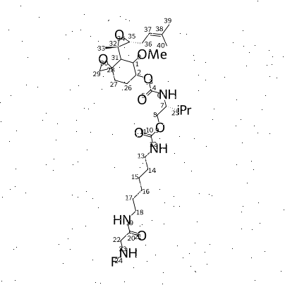 COC1C(OC(=O)N[C@@H](COC(=O)NCCCCCCNC(=O)CNF)C(C)C)CCC2(CO2)C1[C@]1(C)O[C@@H]1CC=C(C)C